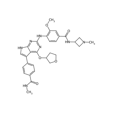 CNC(=O)c1ccc(-c2c[nH]c3nc(Nc4ccc(C(=O)NC5CN(C)C5)cc4OC)nc(OC4CCOC4)c23)cc1